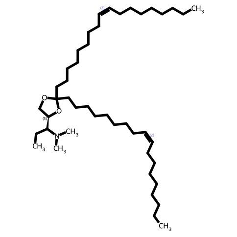 CCCCCCCC/C=C\CCCCCCCCC1(CCCCCCCC/C=C\CCCCCCCC)OC[C@H](C(CC)N(C)C)O1